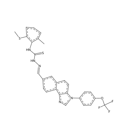 CSc1cccc(C)c1NC(=S)NN=Cc1ccc2c(ccc3c2ncn3-c2ccc(OC(F)(F)F)cc2)c1